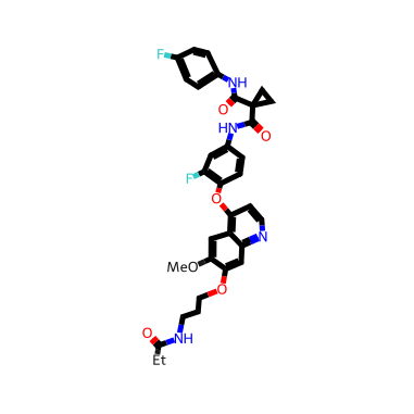 CCC(=O)NCCCOc1cc2nccc(Oc3ccc(NC(=O)C4(C(=O)Nc5ccc(F)cc5)CC4)cc3F)c2cc1OC